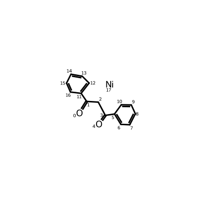 O=C(CC(=O)c1ccccc1)c1ccccc1.[Ni]